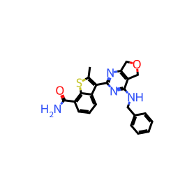 Cc1sc2c(C(N)=O)cccc2c1-c1nc2c(c(NCc3ccccc3)n1)COC2